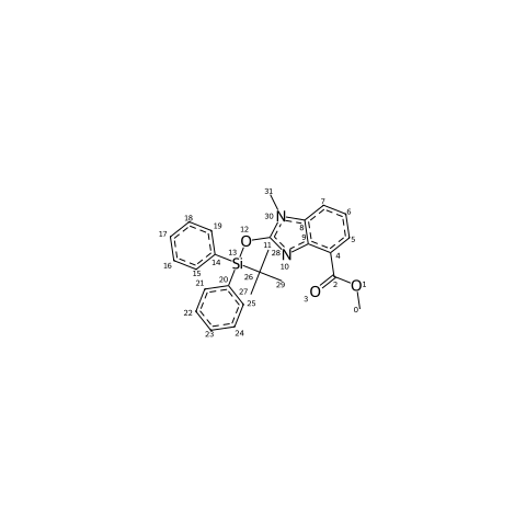 COC(=O)c1cccc2c1nc(O[Si](c1ccccc1)(c1ccccc1)C(C)(C)C)n2C